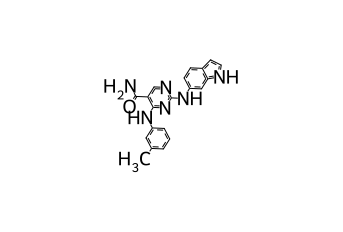 Cc1cccc(Nc2nc(Nc3ccc4cc[nH]c4c3)ncc2C(N)=O)c1